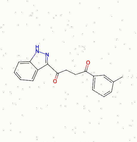 Cc1cccc(C(=O)CCC(=O)c2n[nH]c3ccccc23)c1